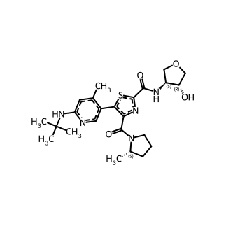 Cc1cc(NC(C)(C)C)ncc1-c1sc(C(=O)N[C@H]2COC[C@@H]2O)nc1C(=O)N1CCC[C@@H]1C